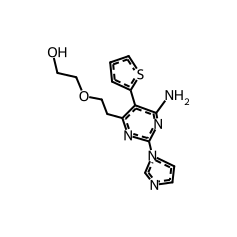 Nc1nc(-n2ccnc2)nc(CCOCCO)c1-c1cccs1